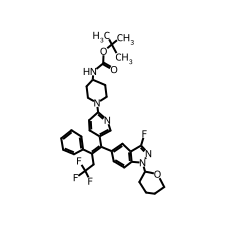 CC(C)(C)OC(=O)NC1CCN(c2ccc(/C(=C(/CC(F)(F)F)c3ccccc3)c3ccc4c(c3)c(F)nn4C3CCCCO3)cn2)CC1